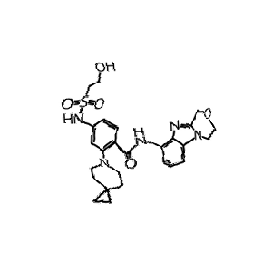 O=C(Nc1cccc2c1nc1n2CCOC1)c1ccc(NS(=O)(=O)CCO)cc1N1CCC2(CC1)CC2